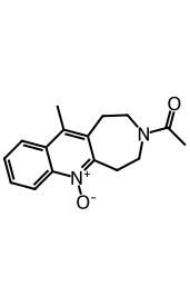 CC(=O)N1CCc2c(C)c3ccccc3[n+]([O-])c2CC1